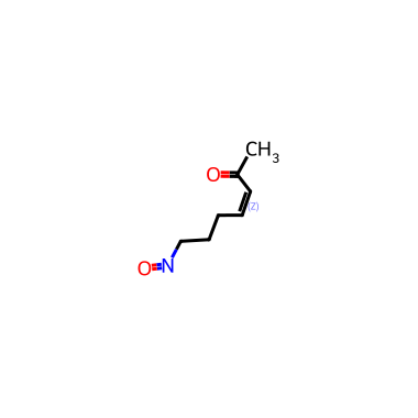 CC(=O)/C=C\CCCN=O